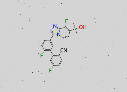 CC(C)(O)c1ccn2c(-c3ccc(F)c(-c4cc(F)ccc4C#N)c3)cnc2c1F